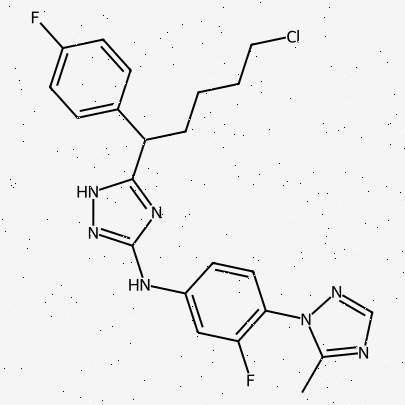 Cc1ncnn1-c1ccc(Nc2n[nH]c(C(CCCCCl)c3ccc(F)cc3)n2)cc1F